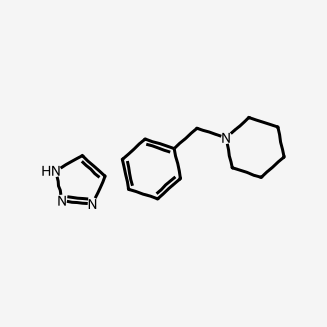 c1c[nH]nn1.c1ccc(CN2CCCCC2)cc1